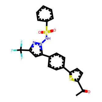 CC(=O)c1ccc(-c2ccc(-c3cc(C(F)(F)F)nn3NS(=O)(=O)c3ccccc3)cc2)s1